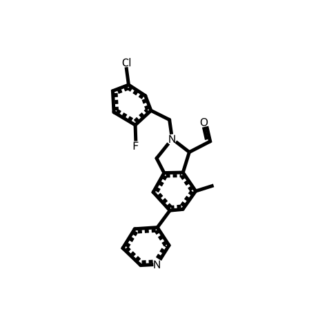 Cc1cc(-c2cccnc2)cc2c1C(C=O)N(Cc1cc(Cl)ccc1F)C2